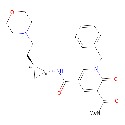 CNC(=O)c1cc(C(=O)N[C@@H]2C[C@H]2CCN2CCOCC2)cn(Cc2ccccc2)c1=O